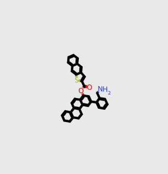 NCc1ccccc1-c1cc(OC(=O)c2cc3cc4ccccc4cc3s2)c2ccc3c(c2c1)CCC1=C3C=CCC1